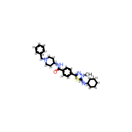 Cn1nc(-c2ccc(C(=O)NC3CCN(Cc4ccccc4)CC3)cc2)s/c1=N/C1CCCCC1